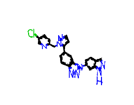 Clc1ccc(Cn2nccc2-c2ccc3nnn(-c4ccc5cn[nH]c5c4)c3c2)nc1